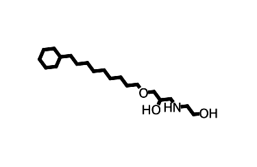 OCCNCC(O)COCCCCCCCCCC1CCCCC1